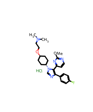 COc1nccc(-c2c(-c3ccc(F)cc3)ncn2[C@H]2CC[C@H](OCCN(C)C)CC2)n1.Cl